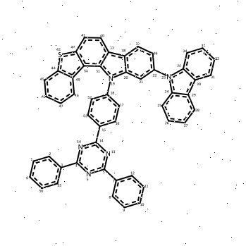 c1ccc(-c2nc(-c3ccccc3)nc(-c3ccc(-n4c5cc(-n6c7ccccc7c7ccccc76)ccc5c5ccc6sc7ccccc7c6c54)cc3)n2)cc1